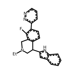 CCN1Cc2c(ccc(-c3cccnn3)c2F)C(c2cc3ccccc3[nH]2)C1